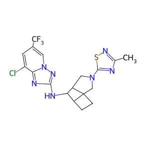 Cc1nsc(N2CC3C(Nc4nc5c(Cl)cc(C(F)(F)F)cn5n4)C4CCC43C2)n1